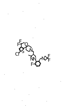 CC1=NN(c2c(F)cccc2CN2CC(F)(F)C2)CC1CN1CCC2(CC1)OCC(F)(F)c1cc(Cl)sc12